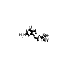 CC(Cn1nnc2c(Cl)nc(N)nc21)OC(C(C)C)(C(C)C)P(=O)(O)O